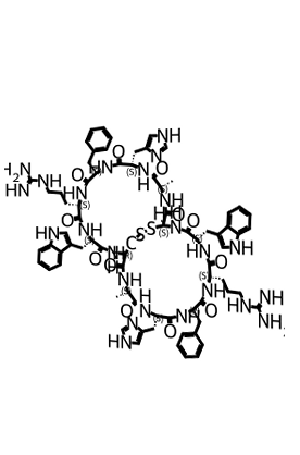 C[C@@H]1NC(=O)[C@@H]2CSS[C@H](NC(=O)[C@H](Cc3c[nH]c4ccccc34)NC(=O)[C@H](CCCNC(=N)N)NC(=O)[C@@H](Cc3ccccc3)NC(=O)[C@H](Cc3c[nH]cn3)NC1=O)C(=O)N[C@@H](C)C(=O)N[C@@H](Cc1c[nH]cn1)C(=O)N[C@H](Cc1ccccc1)C(=O)N[C@@H](CCCNC(=N)N)C(=O)N[C@@H](Cc1c[nH]c3ccccc13)C(=O)N2